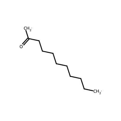 [CH2]CCCCCCCCC([CH2])=O